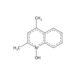 Cc1cc(C)[n+](O)c2ccccc12